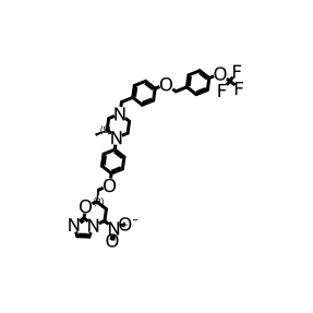 C[C@H]1CN(Cc2ccc(OCc3ccc(OC(F)(F)F)cc3)cc2)CCN1c1ccc(OC[C@H]2CC([N+](=O)[O-])n3ccnc3O2)cc1